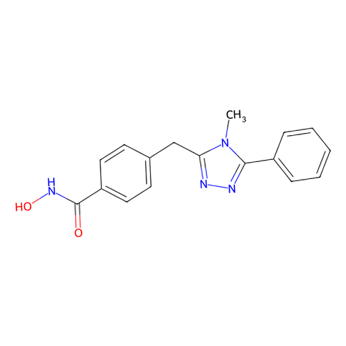 Cn1c(Cc2ccc(C(=O)NO)cc2)nnc1-c1ccccc1